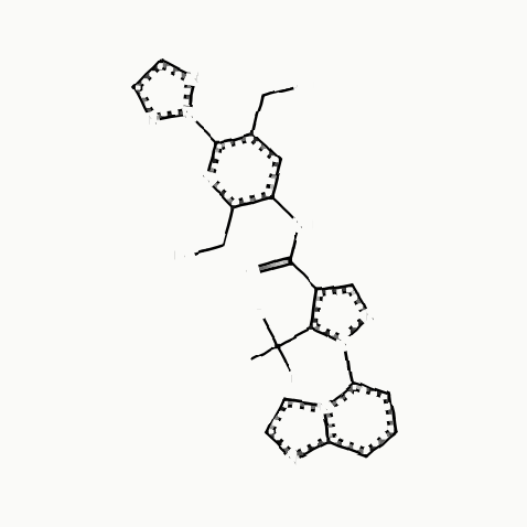 CCc1cc(NC(=O)c2cnn(-c3cccc4nccn34)c2C(F)(F)F)c(CC)nc1-n1nccn1